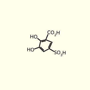 O=C(O)c1cc(S(=O)(=O)O)cc(O)c1O